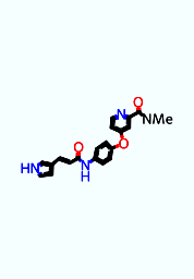 CNC(=O)c1cc(Oc2ccc(NC(=O)C=Cc3cc[nH]c3)cc2)ccn1